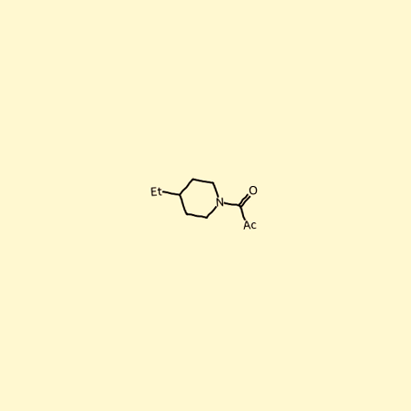 CCC1CCN(C(=O)C(C)=O)CC1